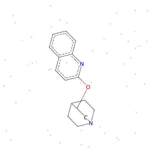 c1ccc2nc(OC3CN4CCC3CC4)ccc2c1